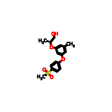 Cc1cc(Oc2ccc(S(C)(=O)=O)cc2)cc(O[C@@H](C)CO)c1